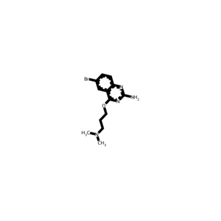 CN(C)CCCOc1nc(N)nc2ccc(Br)cc12